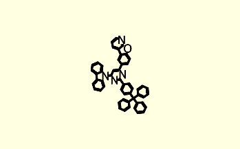 c1ccc(C(c2ccccc2)(c2ccccc2)c2ccc(-c3nc(-c4ccc5oc6ncccc6c5c4)cc(-n4c5ccccc5c5ccccc54)n3)cc2)cc1